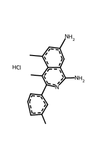 Cc1cccc(-c2nc(N)c3cc(N)cc(C)c3c2C)c1.Cl